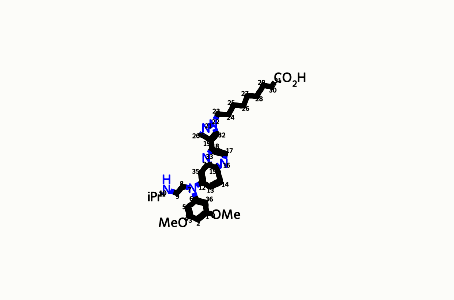 COc1cc(OC)cc(N(CCNC(C)C)c2ccc3ncc(-c4cnn(CCCCCCCCC(=O)O)c4)nc3c2)c1